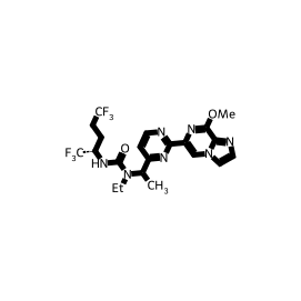 CCN(C(=O)N[C@@H](CCC(F)(F)F)C(F)(F)F)C(C)c1ccnc(-c2cn3ccnc3c(OC)n2)n1